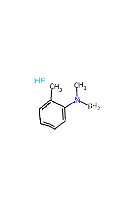 BN(C)c1ccccc1C.F